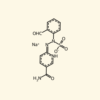 NC(=O)c1ccc(=NN(c2ccccc2C=O)S(=O)(=O)[O-])[nH]c1.[Na+]